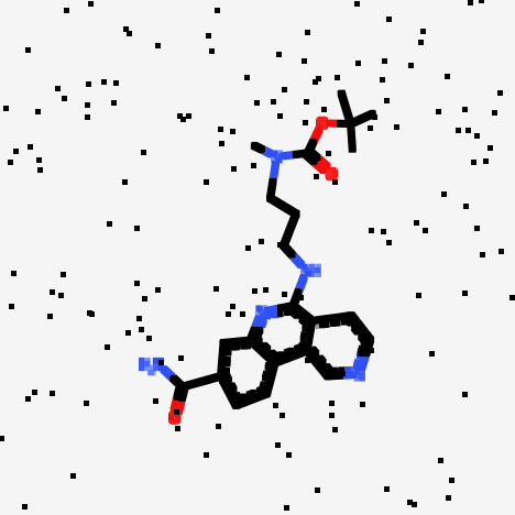 CN(CCCNc1nc2cc(C(N)=O)ccc2c2cnccc12)C(=O)OC(C)(C)C